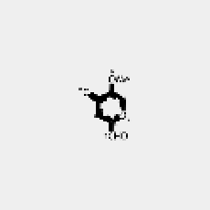 COc1coc(C=O)cc1=O